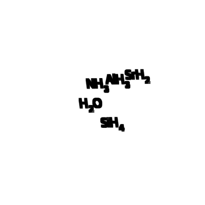 N.O.[AlH3].[SiH4].[SrH2]